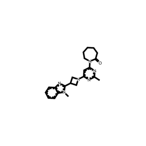 Cc1nc(N2CC(c3nc4ccccc4n3C)C2)cc(N2CCCCCC2=O)n1